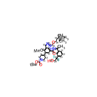 COc1c(C2=CCN(C(=O)OC(C)(C)C)CC2)cc(C(=O)N[C@@H](C)c2cccc(C(F)(F)CO)c2)c2c1cnn2COCC[Si](C)(C)C